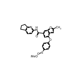 COOSc1ccc(Oc2cc(C(=O)Nc3ccc4c(n3)CCC4)cc3oc(C)cc23)cc1